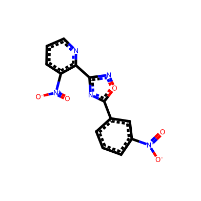 O=[N+]([O-])c1cccc(-c2nc(-c3ncccc3[N+](=O)[O-])no2)c1